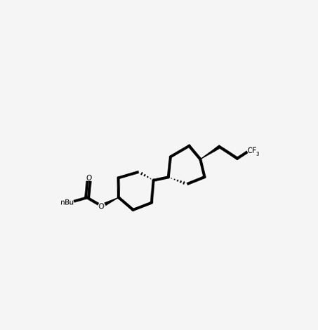 CCCCC(=O)O[C@H]1CC[C@H]([C@H]2CC[C@H](CCC(F)(F)F)CC2)CC1